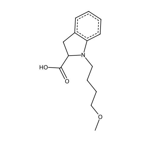 COCCCCN1c2ccccc2CC1C(=O)O